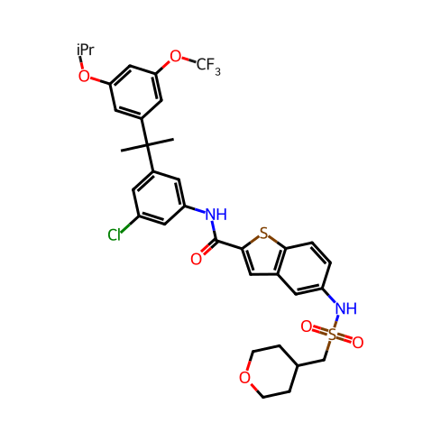 CC(C)Oc1cc(OC(F)(F)F)cc(C(C)(C)c2cc(Cl)cc(NC(=O)c3cc4cc(NS(=O)(=O)CC5CCOCC5)ccc4s3)c2)c1